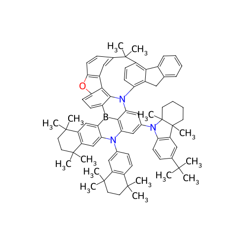 CC(C)(C)c1ccc2c(c1)C1(C)CCCCC1(C)N2c1cc2c3c(c1)N1c4ccc(c5c4Cc4ccccc4-5)C(C)(C)c4ccc5oc6ccc(c1c6c5c4)B3c1cc3c(cc1N2c1ccc2c(c1)C(C)(C)CCC2(C)C)C(C)(C)CCC3(C)C